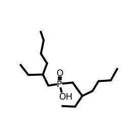 CCCCC(CC)CP(=O)(O)CC(CC)CCCC